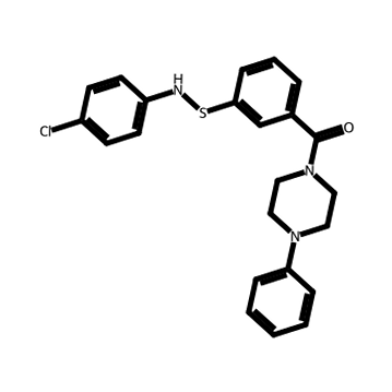 O=C(c1cccc(SNc2ccc(Cl)cc2)c1)N1CCN(c2ccccc2)CC1